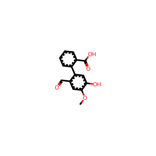 COc1cc(C=O)c(-c2ccccc2C(=O)O)cc1O